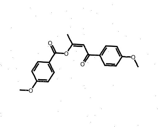 COc1ccc(C(=O)C=C(C)OC(=O)c2ccc(OC)cc2)cc1